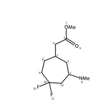 CNC1CC(CC(=O)OC)CCC(F)(F)C1